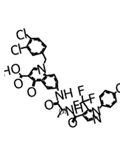 COc1ccc(-n2ncc(C(=O)N[C@@H](C)C(=O)Nc3ccc4c(c3)c(=O)c(C(=O)O)cn4Cc3ccc(Cl)c(Cl)c3)c2C(F)(F)F)cc1